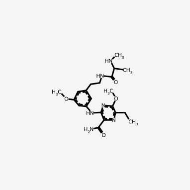 CCc1nc(C(N)=O)c(Nc2cc(CCNC(=O)C(C)NC)cc(OC)c2)nc1OC